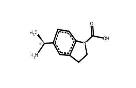 C[C@H](N)c1ccc2c(c1)CCN2C(=O)O